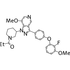 CCC(=O)N1CCCC(n2nc(-c3ccc(Oc4cccc(OC)c4F)cc3)c3cncc(OC)c32)C1